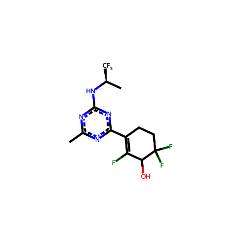 Cc1nc(N[C@H](C)C(F)(F)F)nc(C2=C(F)C(O)C(F)(F)CC2)n1